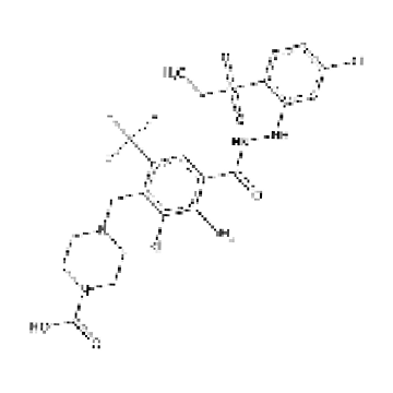 CCS(=O)(=O)c1ccc(Cl)cc1NNC(=O)c1cc(C(F)(F)F)c(CN2CCN(C(=O)O)CC2)c(Cl)c1N